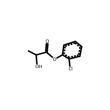 CC(O)C(=O)Oc1ccccc1Cl